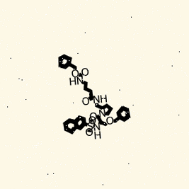 O=C(CCCNC(=O)OCc1ccccc1)NCC1CCCN1C(=O)C(COCc1ccccc1)NS(=O)(=O)c1ccc2ccccc2c1